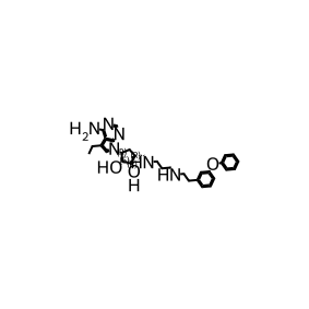 CCc1cn([C@@H]2C[C@H](CNCCCNCCc3cccc(Oc4ccccc4)c3)[C@@H](O)[C@H]2O)c2ncnc(N)c12